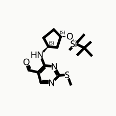 CSc1ncc(C=O)c(N[C@H]2CC[C@H](O[Si](C)(C)C(C)(C)C)C2)n1